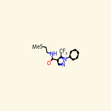 CSCCNC(=O)c1cnn(-c2ccccc2)c1C(F)(F)F